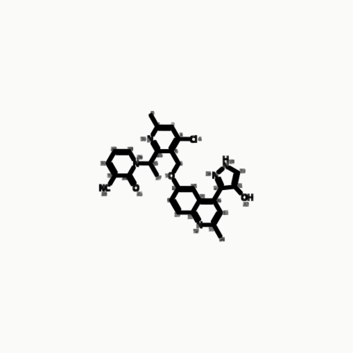 Cc1cc(Cl)c(COc2ccc3nc(C)cc(-c4n[nH]cc4O)c3c2)c(C(C)n2cccc(C#N)c2=O)n1